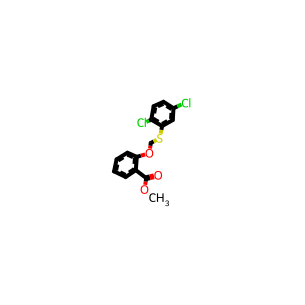 COC(=O)c1ccccc1OCSc1cc(Cl)ccc1Cl